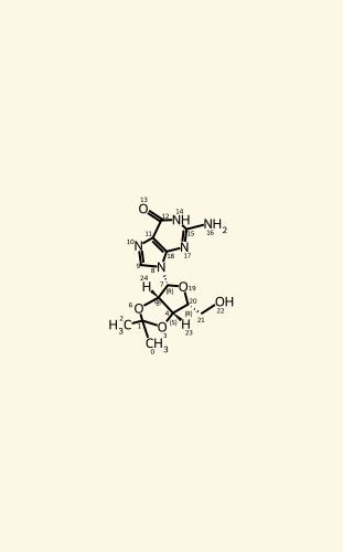 CC1(C)O[C@@H]2[C@H](O1)[C@H](n1cnc3c(=O)[nH]c(N)nc31)O[C@@H]2CO